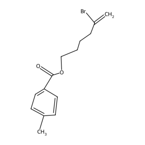 C=C(Br)CCCCOC(=O)c1ccc(C)cc1